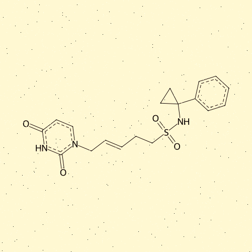 O=c1ccn(C/C=C/CCS(=O)(=O)NC2(c3ccccc3)CC2)c(=O)[nH]1